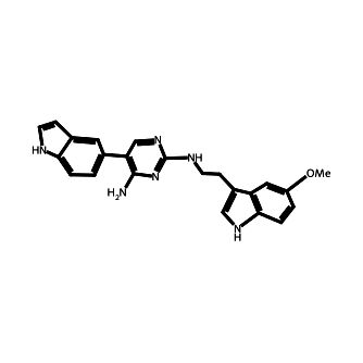 COc1ccc2[nH]cc(CCNc3ncc(-c4ccc5[nH]ccc5c4)c(N)n3)c2c1